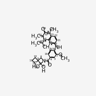 COc1cc(C(=O)N2CC3(CCS3)C2(O)O)ccc1Nc1ccc2c(n1)N(C(C)C)C(C)C(=O)N2C